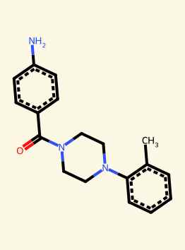 Cc1ccccc1N1CCN(C(=O)c2ccc(N)cc2)CC1